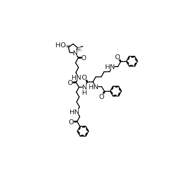 C[C@@H]1C[C@@H](O)CN1C(=O)CCCNC(=O)C(CCCCNCC(=O)c1ccccc1)NC(=O)C(CCCCNCC(=O)c1ccccc1)NCC(=O)c1ccccc1